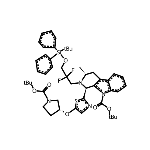 C[C@@H]1Cc2c(n(C(=O)OC(C)(C)C)c3ccccc23)[C@@H](c2ncc(O[C@@H]3CCN(C(=O)OC(C)(C)C)C3)s2)N1CC(F)(F)CO[Si](c1ccccc1)(c1ccccc1)C(C)(C)C